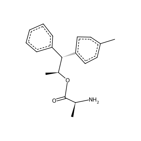 Cc1ccc([C@@H](c2ccccc2)[C@H](C)OC(=O)[C@H](C)N)cc1